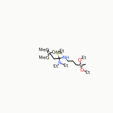 CCO[Si](C)(CCCNC(C[Si](OC)(OC)OC)(SCC)N(CC)CC)OCC